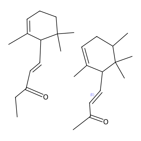 CC(=O)/C=C/C1C(C)=CCC(C)C1(C)C.CCC(=O)C=CC1C(C)=CCCC1(C)C